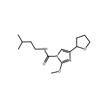 COc1nc(C2CCCO2)cn1C(=O)NCCC(C)C